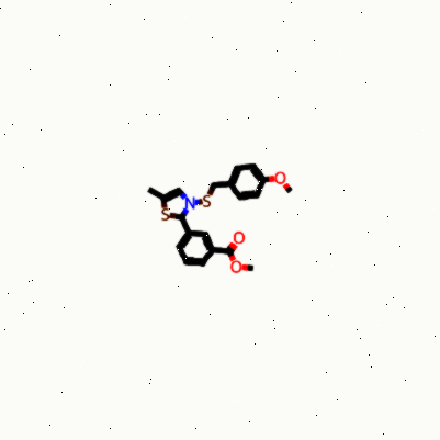 COC(=O)c1cccc(C2SC(C)=CN2SCc2ccc(OC)cc2)c1